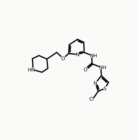 O=C(Nc1cccc(OCC2CCNCC2)n1)Nc1csc(Cl)n1